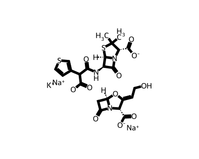 CC1(C)S[C@@H]2[C@H](NC(=O)C(C(=O)[O-])c3ccsc3)C(=O)N2[C@H]1C(=O)[O-].O=C([O-])[C@H]1/C(=C/CO)O[C@@H]2CC(=O)N21.[K+].[Na+].[Na+]